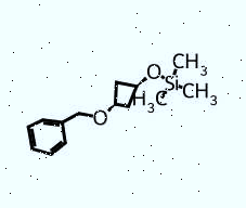 C[Si](C)(C)O[C@H]1C[C@@H](OCc2ccccc2)C1